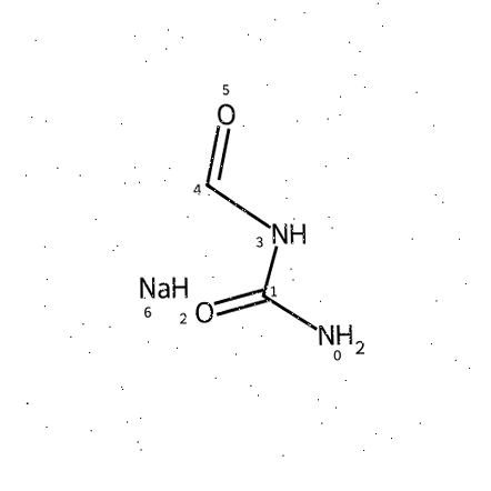 NC(=O)NC=O.[NaH]